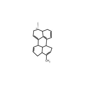 CC1=CCC2C3=C4C(=CC[C@H](I)C4CC=C3)C3C=CCC1C32